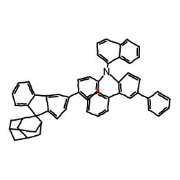 c1ccc(-c2ccc(N(c3ccc(-c4ccc5c(c4)-c4ccccc4C54C5CC6CC(C5)CC4C6)cc3)c3cccc4ccccc34)c(-c3ccccc3)c2)cc1